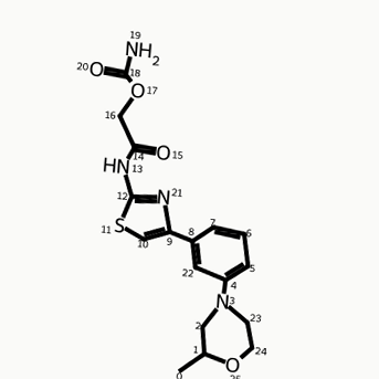 CC1CN(c2cccc(-c3csc(NC(=O)COC(N)=O)n3)c2)CCO1